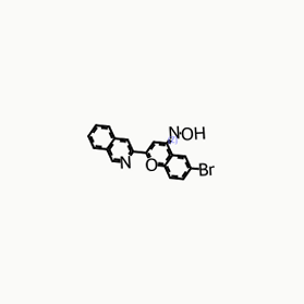 O/N=c1/cc(-c2cc3ccccc3cn2)oc2ccc(Br)cc12